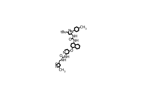 Cc1ccc(-n2nc(C(C)(C)C)cc2NC(=O)Nc2ccc(Oc3ccnc(NC(=O)NCc4cc(C)no4)c3)c3ccccc23)cc1